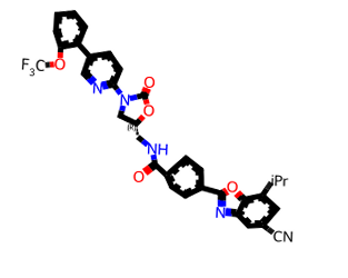 CC(C)c1cc(C#N)cc2nc(-c3ccc(C(=O)NC[C@@H]4CN(c5ccc(-c6ccccc6OC(F)(F)F)cn5)C(=O)O4)cc3)oc12